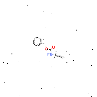 [C]#CC(C)(C)NC(=O)OCc1ccccc1